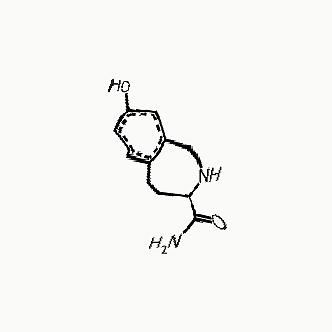 NC(=O)[C@H]1Cc2ccc(O)cc2CN1